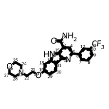 NC(=O)c1cc(-c2cccc(C(F)(F)F)c2)nc2c1[nH]c1cc(OCCN3CCOCC3)ccc12